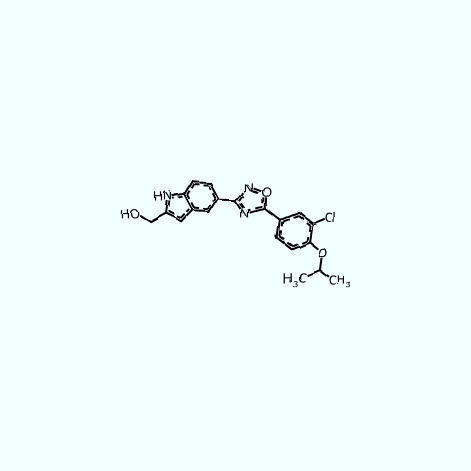 CC(C)Oc1ccc(-c2nc(-c3ccc4[nH]c(CO)cc4c3)no2)cc1Cl